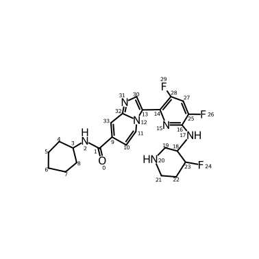 O=C(NC1CCCCC1)c1ccn2c(-c3nc(NC4CNCCC4F)c(F)cc3F)cnc2c1